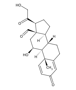 C[C@]12C=CC(=O)C=C1CC[C@@H]1[C@@H]2[C@@H](O)C[C@]2(C=O)[C@@H](C(=O)CO)CC[C@@H]12